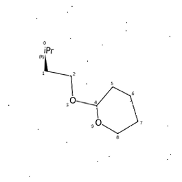 [CH2][C@H](C)CCOC1CCCCO1